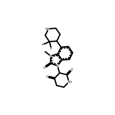 Cn1c(=O)n(C2C(=O)CCNC2=O)c2cccc(C3CCNCC3(F)F)c21